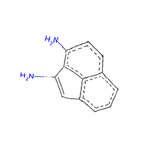 NC1=Cc2cccc3ccc(N)c1c23